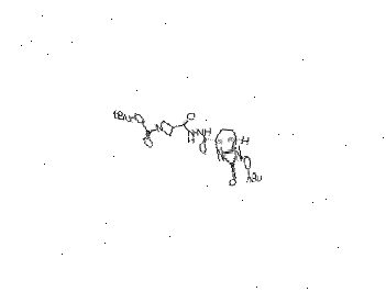 CCCCON1C(=O)N2C[C@H]1CC[C@H]2C(=O)NNC(=O)C1CN(C(=O)OC(C)(C)C)C1